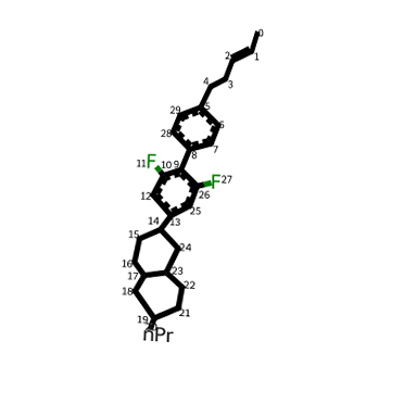 CC=CCCc1ccc(-c2c(F)cc(C3CCC4CC(CCC)CCC4C3)cc2F)cc1